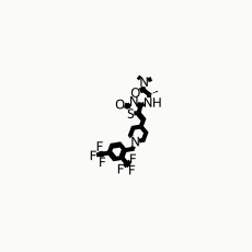 C[C@H](NC1=NC(=O)S/C1=C\C1CCN(Cc2ccc(C(F)(F)F)cc2C(F)(F)F)CC1)C(=O)N(C)C